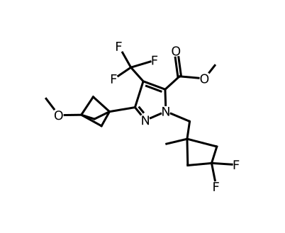 COC(=O)c1c(C(F)(F)F)c(C23CC(OC)(C2)C3)nn1CC1(C)CC(F)(F)C1